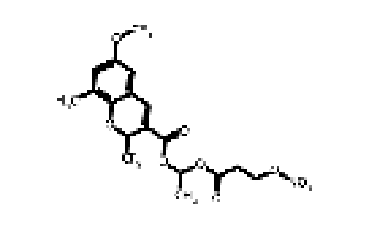 Cc1cc(OC(F)(F)F)cc2c1OC(C(F)(F)F)C(C(=O)OC(C)OC(=O)CCO[N+](=O)[O-])=C2